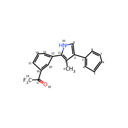 Cc1c(-c2ccccc2)c[nH]c1-c1cccc(C(=O)C(F)(F)F)c1